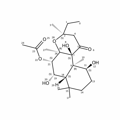 CC[C@@]1(C)CC(=O)[C@]2(O)[C@@]3(C)[C@@H](O)CCC(C)(C)[C@@H]3[C@H](O)[C@H](OC(C)=O)[C@@]2(C)O1